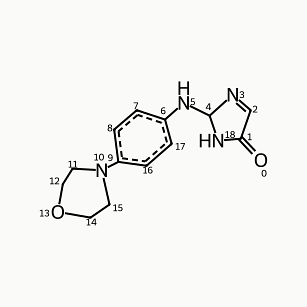 O=C1C=NC(Nc2ccc(N3CCOCC3)cc2)N1